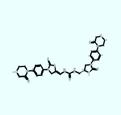 O=C(N/C=C1/CN(c2ccc(N3CCOCC3=O)cc2)C(=O)O1)NC[C@H]1CN(c2ccc(N3CCOCC3=O)cc2)C(=O)O1